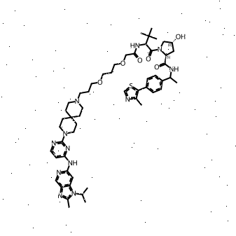 Cc1ncsc1-c1ccc(C(C)NC(=O)[C@@H]2C[C@@H](O)CN2C(=O)C(NC(=O)COCCCOCCCN2CCC3(CC2)CCN(c2nccc(Nc4cc5c(cn4)nc(C)n5C(C)C)n2)CC3)C(C)(C)C)cc1